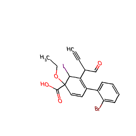 C#CC(C=O)C1=C(c2ccccc2Br)C=CC(OCC)(C(=O)O)C1I